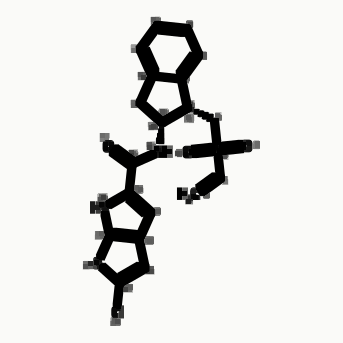 C=CS(=O)(=O)C[C@H]1c2ccccc2C[C@H]1NC(=O)c1cc2cc(Cl)sc2[nH]1